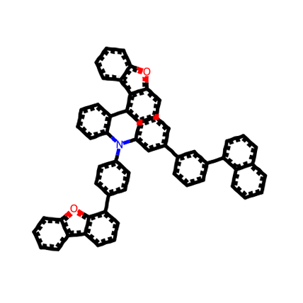 c1cc(-c2cccc(N(c3ccc(-c4cccc5c4oc4ccccc45)cc3)c3ccccc3-c3cccc4oc5ccccc5c34)c2)cc(-c2cccc3ccccc23)c1